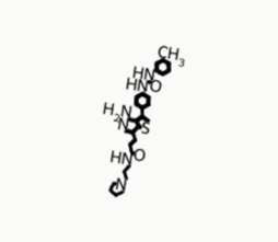 Cc1cccc(NC(=O)Nc2ccc(-c3csc4c(/C=C/C(=O)NCCCN5CCCC5)cnc(N)c34)cc2)c1